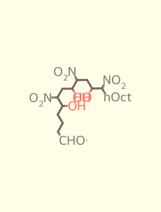 CCCCCCCCC(C(O)CC(C(O)CC(C(O)CCC[C]=O)[N+](=O)[O-])[N+](=O)[O-])[N+](=O)[O-]